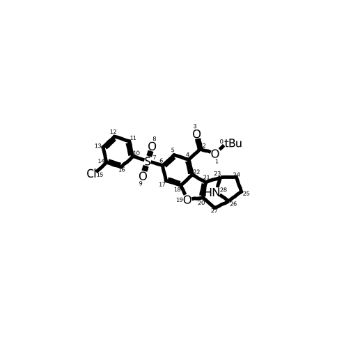 CC(C)(C)OC(=O)c1cc(S(=O)(=O)c2cccc(Cl)c2)cc2oc3c(c12)C1CCC(C3)N1